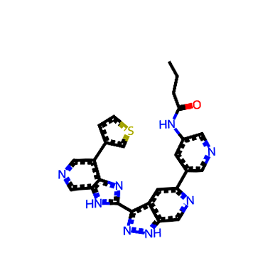 CCCC(=O)Nc1cncc(-c2cc3c(-c4nc5c(-c6ccsc6)cncc5[nH]4)n[nH]c3cn2)c1